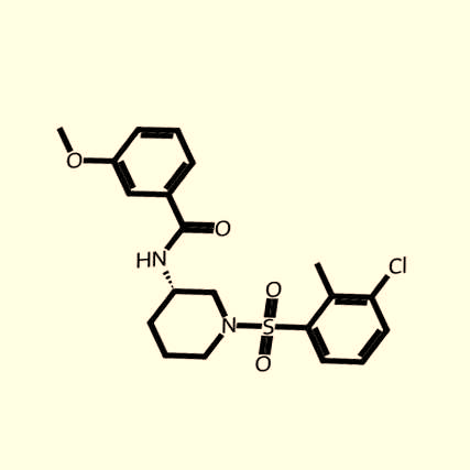 COc1cccc(C(=O)N[C@H]2CCCN(S(=O)(=O)c3cccc(Cl)c3C)C2)c1